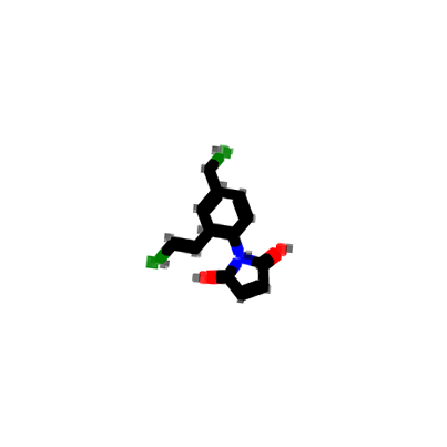 O=C1C=CC(=O)N1c1ccc(CBr)cc1C=CBr